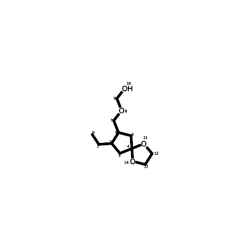 CCC1CC2(CC1COCO)OCCO2